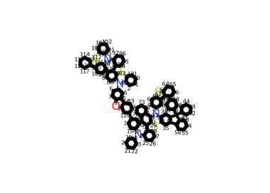 c1ccc(N(c2ccc3oc4cc(-c5ccc(N(c6ccccc6)c6cccc7sc8c(N(c9ccc%10c(c9)C(c9ccccc9)(c9ccccc9)c9ccccc9-%10)c9ccc%10sc%11ccccc%11c%10c9)c9ccccc9cc8c67)cc5)ccc4c3c2)c2cccc3c2sc2cccc(N(c4ccccc4)c4cccc5c4sc4ccccc45)c23)cc1